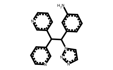 Nc1cccc(C(C(c2cccnc2)c2cccnc2)n2ccnn2)c1